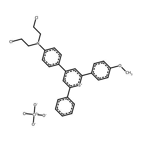 COc1ccc(-c2cc(-c3ccc(N(CCCl)CCCl)cc3)cc(-c3ccccc3)[s+]2)cc1.[O-][Cl+3]([O-])([O-])[O-]